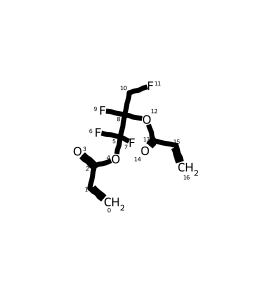 C=CC(=O)OC(F)(F)C(F)(CF)OC(=O)C=C